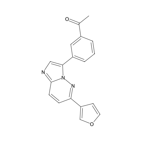 CC(=O)c1cccc(-c2cnc3ccc(-c4ccoc4)nn23)c1